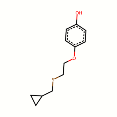 Oc1ccc(OCCSCC2CC2)cc1